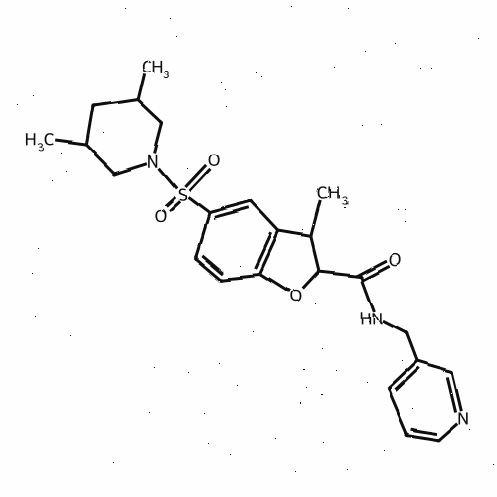 CC1CC(C)CN(S(=O)(=O)c2ccc3c(c2)C(C)C(C(=O)NCc2cccnc2)O3)C1